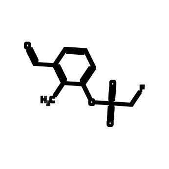 Cc1c(C=O)cccc1OS(=O)(=O)CF